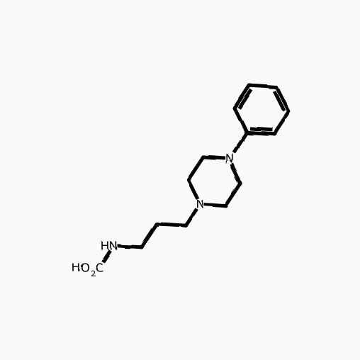 O=C(O)NCCCN1CCN(c2ccccc2)CC1